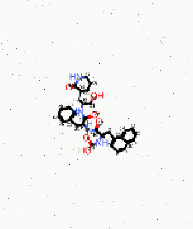 O=C(O)NC(Cc1cccc2ccccc12)C(=O)NC(Cc1ccccc1)C(=O)NC(CO)C[C@@H]1CCCNC1=O